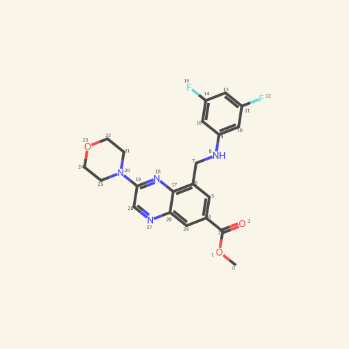 COC(=O)c1cc(CNc2cc(F)cc(F)c2)c2nc(N3CCOCC3)cnc2c1